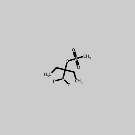 CCC(CC)(OS(C)(=O)=O)P(F)F